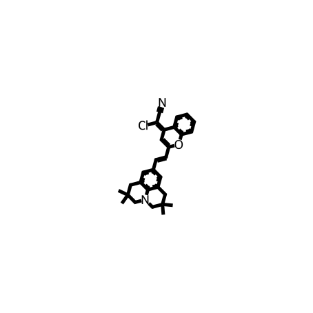 CC1(C)Cc2cc(/C=C/C3=CC(=C(\Cl)C#N)/c4ccccc4O3)cc3c2N(C1)CC(C)(C)C3